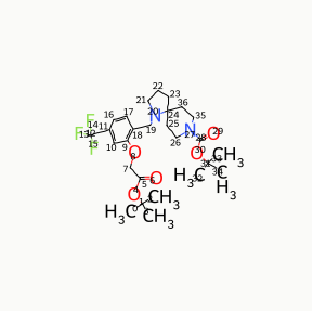 CC(C)(C)OC(=O)COc1cc(C(F)(F)F)ccc1CN1CCCC12CCN(C(=O)OC(C)(C)C)CC2